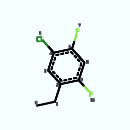 CCc1cc(Cl)c(F)cc1F